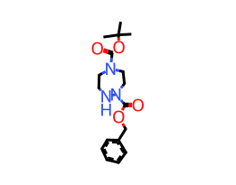 CC(C)(C)OC(=O)N1CCNN(C(=O)OCc2ccccc2)CC1